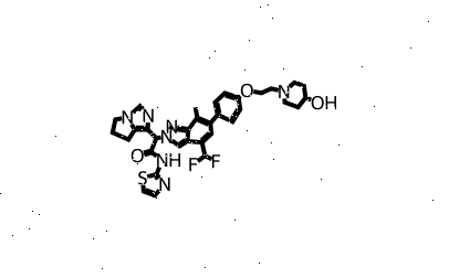 Cc1c(-c2ccc(OCCN3CCC(O)CC3)cc2)cc(C(F)F)c2cn(C(C(=O)Nc3nccs3)c3ncn4c3CCC4)nc12